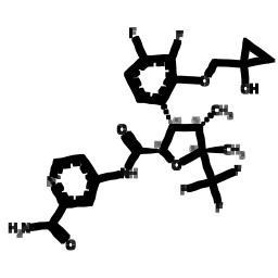 C[C@H]1[C@@H](c2ccc(F)c(F)c2OCC2(O)CC2)[C@H](C(=O)Nc2ccnc(C(N)=O)c2)O[C@@]1(C)C(F)(F)F